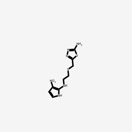 Nc1nnc(CSCCNc2[nH]ccc2[N+](=O)[O-])s1